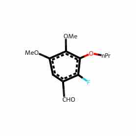 CCCOc1c(F)c(C=O)cc(OC)c1OC